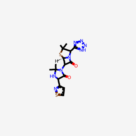 CC1(C)S[C@@H]2C(N3C(=O)C(c4ccsn4)NC3(C)C)C(=O)N2C1c1nnn[nH]1